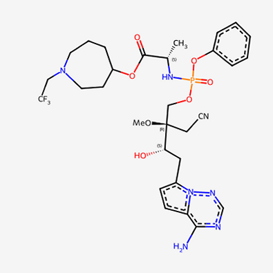 CO[C@](CC#N)(COP(=O)(N[C@@H](C)C(=O)OC1CCCN(CC(F)(F)F)CC1)Oc1ccccc1)[C@@H](O)Cc1ccc2c(N)ncnn12